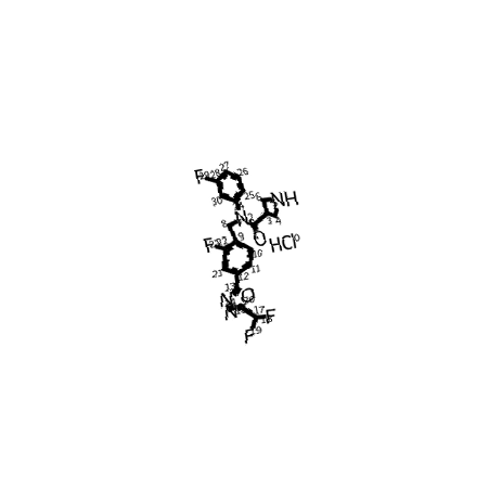 Cl.O=C(C1CNC1)N(Cc1ccc(-c2nnc(C(F)F)o2)cc1F)c1cccc(F)c1